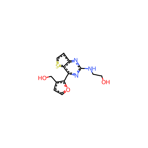 OCCNc1nc(-c2occc2CO)c2sccc2n1